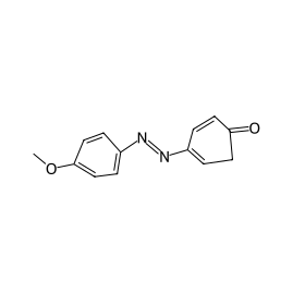 COc1ccc(N=NC2=CCC(=O)C=C2)cc1